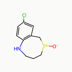 [O-][S+]1CCCNc2ccc(Cl)cc2C1